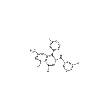 Cc1cc2c(c(Cl)n1)c(=O)cc(Nc1cccc(F)c1)n2-c1cccc(F)c1